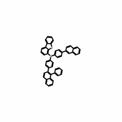 c1ccc(-c2c(-c3ccc(N(c4ccc(-c5ccc6ccccc6c5)cc4)c4cccc5c4sc4ccccc45)cc3)ccc3ccccc23)cc1